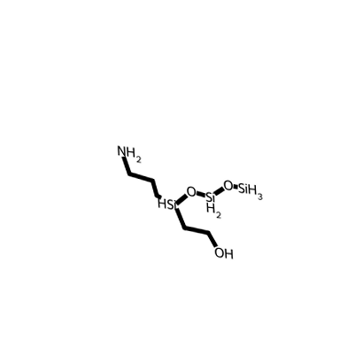 NCCC[SiH](CCO)O[SiH2]O[SiH3]